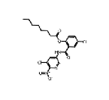 CCCCCCCC(=O)Oc1ccc(Cl)cc1C(=O)Nc1cc(Cl)c([N+](=O)[O-])nn1